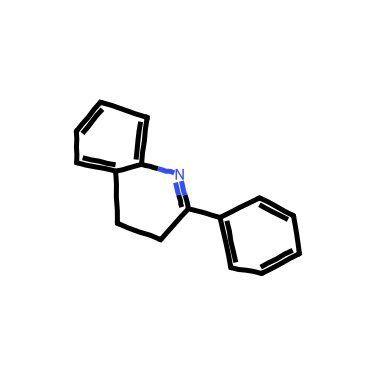 c1ccc(C2=Nc3ccccc3CC2)cc1